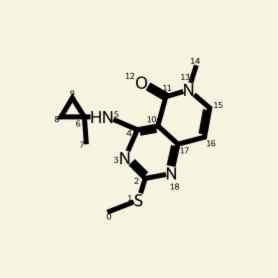 CSc1nc(NC2(C)CC2)c2c(=O)n(C)ccc2n1